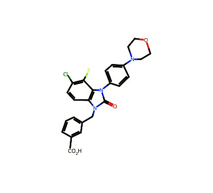 O=C(O)c1cccc(Cn2c(=O)n(-c3ccc(N4CCOCC4)cc3)c3c(F)c(Cl)ccc32)c1